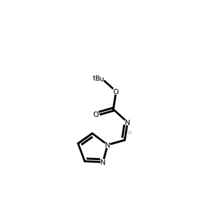 CC(C)(C)OC(=O)/N=C\n1cccn1